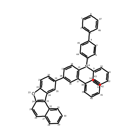 c1ccc(-c2ccc(N(c3ccccc3)c3ccc(-c4ccc5oc6ccc7ccccc7c6c5c4)cc3-c3ccccc3)cc2)cc1